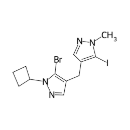 Cn1ncc(Cc2cnn(C3CCC3)c2Br)c1I